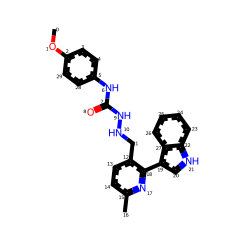 COc1ccc(NC(=O)NNCc2ccc(C)nc2-c2c[nH]c3ccccc23)cc1